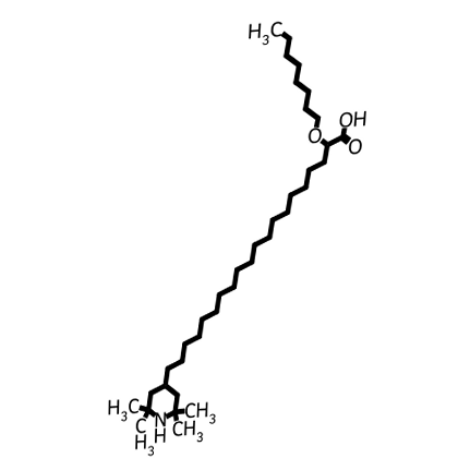 CCCCCCCCOC(CCCCCCCCCCCCCCCCCCC1CC(C)(C)NC(C)(C)C1)C(=O)O